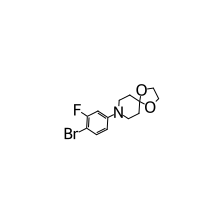 Fc1cc(N2CCC3(CC2)OCCO3)ccc1Br